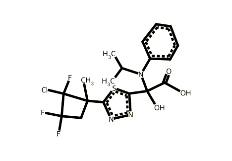 CC(C)N(c1ccccc1)C(O)(C(=O)O)c1nnc(C2(C)CC(F)(F)C2(F)Cl)s1